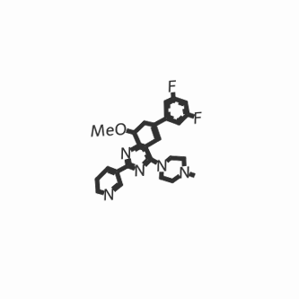 COC1CC(c2cc(F)cc(F)c2)=Cc2c1nc(C1=CCCN=C1)nc2N1CCN(C)CC1